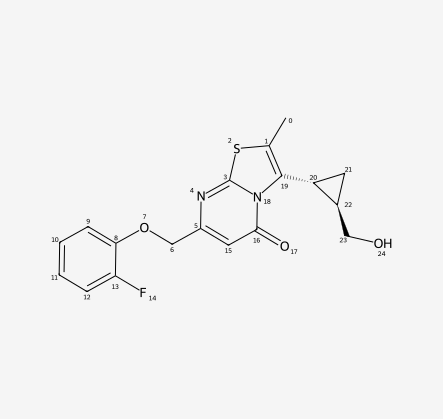 Cc1sc2nc(COc3ccccc3F)cc(=O)n2c1[C@@H]1C[C@H]1CO